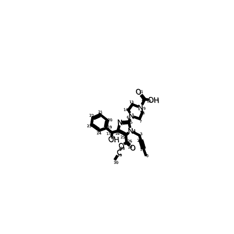 CC#CCn1c(N2CCN(C(=O)O)CC2)nc(C(O)c2ccccc2)c1C(=O)OCC